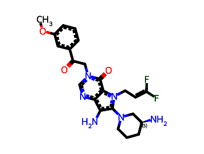 COc1cccc(C(=O)Cn2cnc3c(N)c(N4CCC[C@H](N)C4)n(CC=C(F)F)c3c2=O)c1